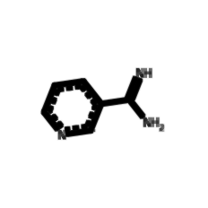 N=C(N)c1[c]nccc1